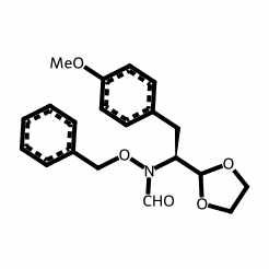 COc1ccc(C[C@@H](C2OCCO2)N(C=O)OCc2ccccc2)cc1